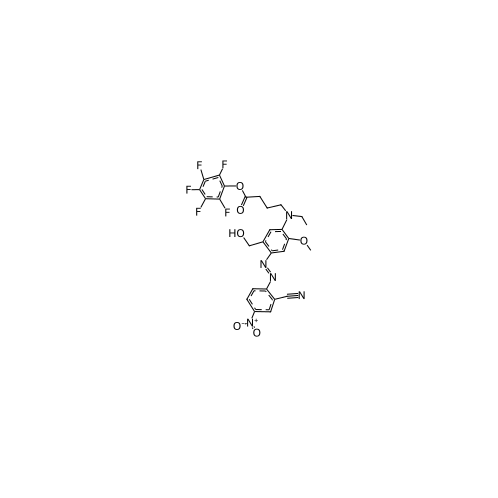 CCN(CCCC(=O)Oc1c(F)c(F)c(F)c(F)c1F)c1cc(CO)c(N=Nc2ccc([N+](=O)[O-])cc2C#N)cc1OC